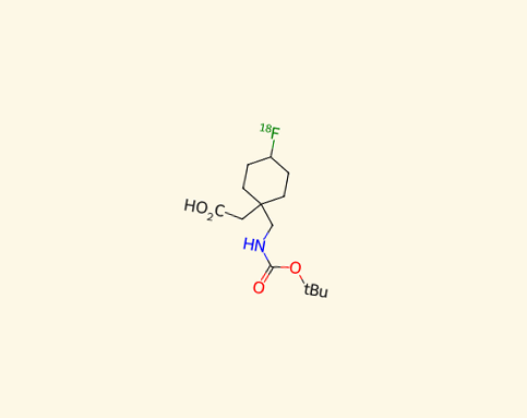 CC(C)(C)OC(=O)NCC1(CC(=O)O)CCC([18F])CC1